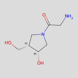 NCC(=O)N1C[C@@H](CO)[C@@H](O)C1